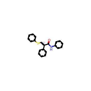 O=C(Nc1ccccc1)/C(=C/Sc1ccccc1)c1ccccc1